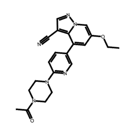 CCOc1cc(-c2ccc(N3CCN(C(C)=O)CC3)nc2)c2c(C#N)cnn2c1